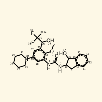 COc1c(NC(=O)NC2Cc3ccccc3C2O)cc(N2CCCCC2)cc1C(O)C(F)(F)F